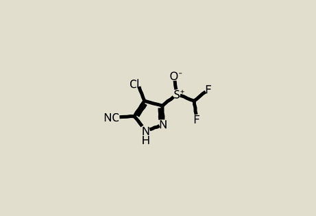 N#Cc1[nH]nc([S+]([O-])C(F)F)c1Cl